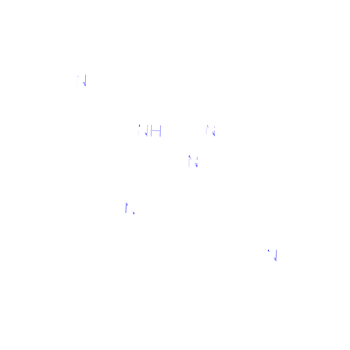 N#Cc1ccc(Cn2cncc2C(NCc2ccncc2)C2CCN(c3ccccc3)CC2)cc1